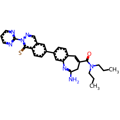 CCCN(CCC)C(=O)C1=Cc2ccc(-c3ccc4c(=S)n(-c5ncccn5)ncc4c3)cc2N=C(N)C1